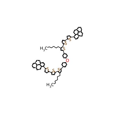 CCCCCCc1cc(-c2ccc(Oc3ccc(-c4cc(CCCCCC)c(-c5ccc(-c6ccc(-c7ccc8ccc9cccc%10ccc7c8c9%10)s6)s5)s4)cc3)cc2)sc1-c1ccc(-c2ccc(-c3ccc4ccc5cccc6ccc3c4c56)s2)s1